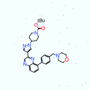 CC(C)(C)OC(=O)N1CCC(n2cc(-c3cnc4cccc(-c5ccc(CN6CCOCC6)cc5)c4n3)cn2)CC1